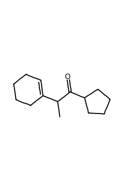 CC(C(=O)C1CCCC1)C1=CCCCC1